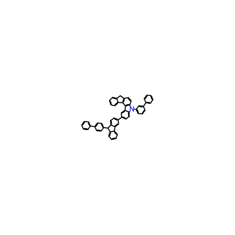 c1ccc(-c2ccc(C3c4ccccc4-c4cc(-c5ccc6c(c5)c5c7c(ccc5n6-c5cccc(-c6ccccc6)c5)Cc5ccccc5-7)ccc43)cc2)cc1